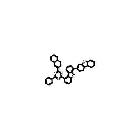 C1=CC2C=CC(c3nc(-c4ccccc4)nc(-c4cccc5oc6c(-c7ccc8c9c(oc8c7)C=CCC9)cccc6c45)n3)=CC2C=C1